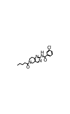 CCCCC(=O)N1CCc2nc(NC(=O)c3cccc(Cl)c3)ncc2C1